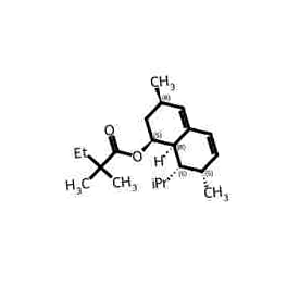 CCC(C)(C)C(=O)O[C@H]1C[C@@H](C)C=C2C=C[C@H](C)[C@H](C(C)C)[C@H]21